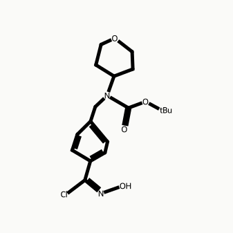 CC(C)(C)OC(=O)N(Cc1ccc(/C(Cl)=N\O)cc1)C1CCOCC1